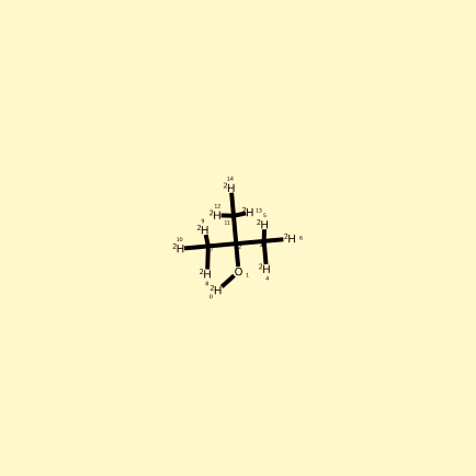 [2H]OC(C([2H])([2H])[2H])(C([2H])([2H])[2H])C([2H])([2H])[2H]